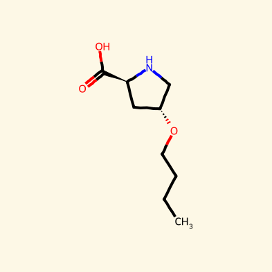 CCCCO[C@H]1CN[C@H](C(=O)O)C1